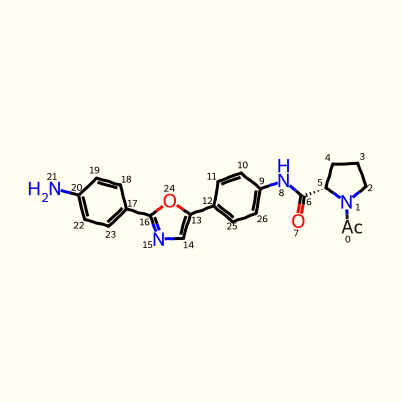 CC(=O)N1CCC[C@H]1C(=O)Nc1ccc(-c2cnc(-c3ccc(N)cc3)o2)cc1